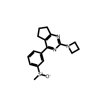 C[S+]([O-])c1cccc(-c2nc(N3CCC3)nc3c2CCC3)c1